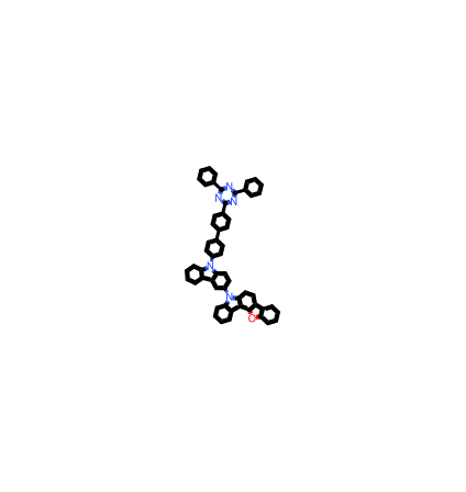 c1ccc(-c2nc(-c3ccccc3)nc(-c3ccc(-c4ccc(-n5c6ccccc6c6cc(-n7c8ccccc8c8c9oc%10ccccc%10c9ccc87)ccc65)cc4)cc3)n2)cc1